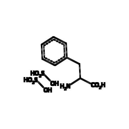 NC(Cc1ccccc1)C(=O)O.O=S(=O)(O)O.O=S(=O)(O)O